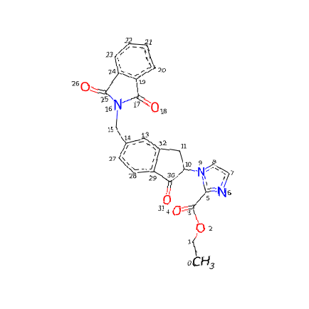 CCOC(=O)c1nccn1C1Cc2cc(CN3C(=O)c4ccccc4C3=O)ccc2C1=O